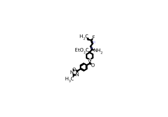 C=C/C(F)=C\C=C(/N)C1(C(=O)OCC)CCN(C(=O)c2ccc(-c3nc(C)no3)cc2)CC1